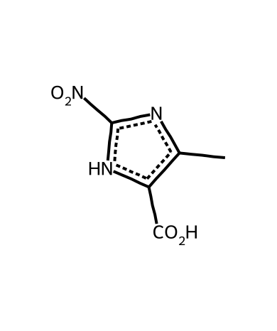 Cc1nc([N+](=O)[O-])[nH]c1C(=O)O